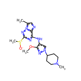 COc1nn(C2CCN(C)CC2)cc1Nc1nc([S+](C)[O-])nn2c(C)cnc12